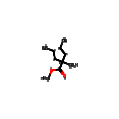 CCCCCCOC(=O)C(CCC#N)(CCC#N)C(=O)O